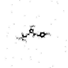 CC(=O)S[C@H]1C[C@@H](COCC(=O)N(C)C)N(C(=O)OCc2ccc([N+](=O)[O-])cc2)C1